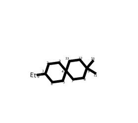 CCC1CCC2(CC1)CCC(C)(C)CC2